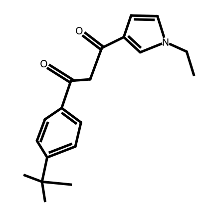 CCn1ccc(C(=O)CC(=O)c2ccc(C(C)(C)C)cc2)c1